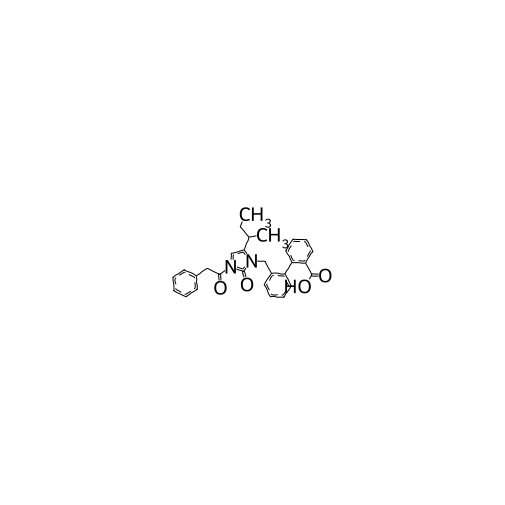 CCC(C)c1cn(C(=O)Cc2ccccc2)c(=O)n1Cc1ccccc1-c1ccccc1C(=O)O